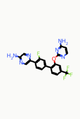 Nc1cnc(-c2ccc(-c3ccc(C(F)(F)F)cc3Oc3nccc(N)n3)cc2F)cn1